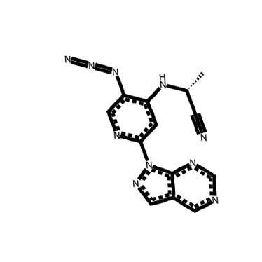 C[C@H](C#N)Nc1cc(-n2ncc3cncnc32)ncc1N=[N+]=[N-]